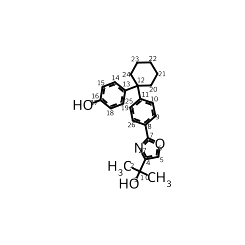 CC(C)(O)c1coc(-c2ccc(C3(c4ccc(O)cc4)CCCCC3)cc2)n1